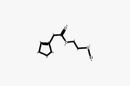 CCOCCOC(=O)CC1=CCCC1